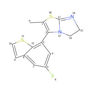 CC1=C(c2cc(F)cc3ccsc23)N2CCN=C2S1